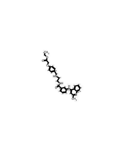 CCOC(=O)COc1ccc(CNCCNC(=O)c2cccc(Nc3cc(C)nc4ccccc34)c2)cc1